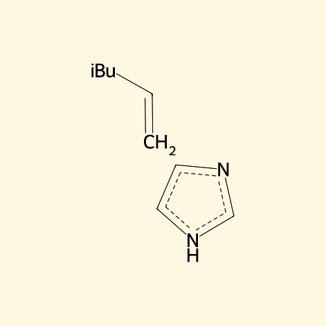 C=CC(C)CC.c1c[nH]cn1